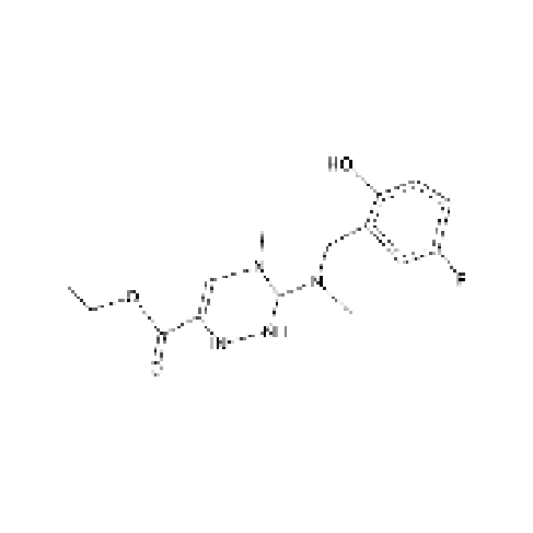 CCOC(=O)C1=CN(C)C(N(C)Cc2cc(F)ccc2O)NN1